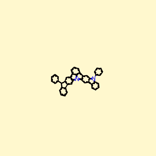 c1ccc(C2c3ccccc3-c3cc4c(cc32)c2cccc3c5cc6c(cc5n4c23)c2ccccc2n6-c2ccccc2)cc1